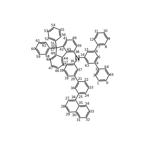 c1ccc(-c2cc(-c3ccccc3)cc(N(c3cccc(-c4cccc(-c5cccc6ccccc56)c4)c3)c3cccc4c3-c3ccccc3C4(c3ccccc3)c3ccccc3)c2)cc1